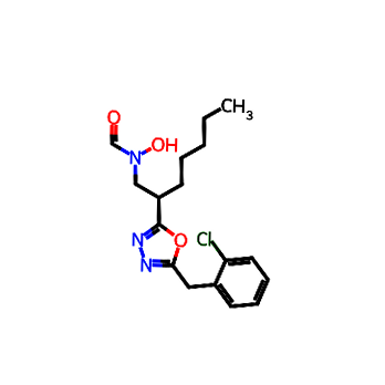 CCCCCC(CN(O)C=O)c1nnc(Cc2ccccc2Cl)o1